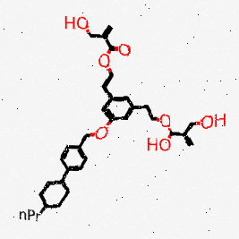 C=C(CO)C(=O)OCCc1cc(CCOC(O)C(=C)CO)cc(OCc2ccc(C3CCC(CCC)CC3)cc2)c1